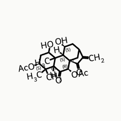 C=C1C(=O)[C@]23CC1C[C@H](O)[C@H]2C1(C)C(O)C[C@H](OC(C)=O)C(C)(C)[C@H]1C(=O)[C@@H]3OC(C)=O